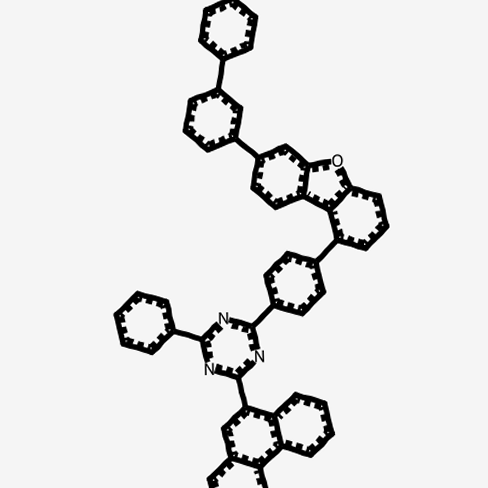 c1ccc(-c2cccc(-c3ccc4c(c3)oc3cccc(-c5ccc(-c6nc(-c7ccccc7)nc(-c7cc8ccccc8c8ccccc78)n6)cc5)c34)c2)cc1